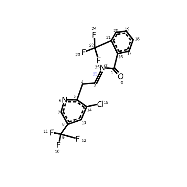 O=C(/N=C/Cc1ncc(C(F)(F)F)cc1Cl)c1ccccc1C(F)(F)F